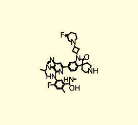 CNC(O)c1cc(Nc2nc(-c3ccc4c(c3)N([C@H]3C[C@@H](N5CCC[C@@H](F)C5)C3)C(=O)C43CCNCC3)cc3ncn(C(C)C)c23)c(F)cc1C